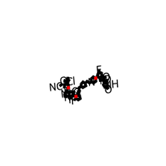 C=C(Cl)C(=O)N1CCN(c2ncnc3c(F)c(-c4c(F)cccc4OCCC4CCC(CCN5CCC(c6cc(F)cc7c6CN(C6CCC(=O)NC6=O)C7=O)CC5)CC4)c(Cl)cc23)C[C@H]1CC#N